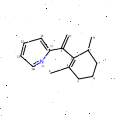 C=C(C1=C(C)CCCC1C)c1ccccn1